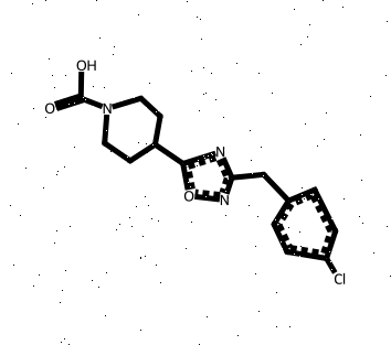 O=C(O)N1CCC(c2nc(Cc3ccc(Cl)cc3)no2)CC1